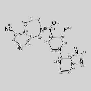 N#Cc1cncc2c1OCCN(C(=O)[C@@H]1CCN(c3nccn4ncnc34)C[C@H]1F)C2